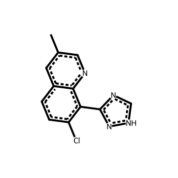 Cc1cnc2c(-c3nc[nH]n3)c(Cl)ccc2c1